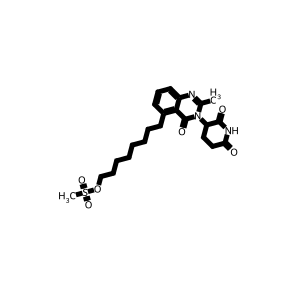 Cc1nc2cccc(CCCCCCCCOS(C)(=O)=O)c2c(=O)n1C1CCC(=O)NC1=O